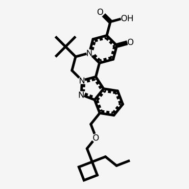 CCCC1(COCc2cccc3c4n(nc23)CC(C(C)(C)C)n2cc(C(=O)O)c(=O)cc2-4)CCC1